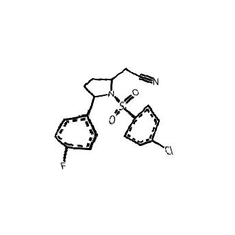 N#CCC1CCC(c2ccc(F)cc2)N1S(=O)(=O)c1ccc(Cl)cc1